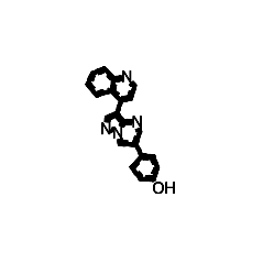 Oc1ccc(-c2cnc3c(-c4ccnc5ccccc45)cnn3c2)cc1